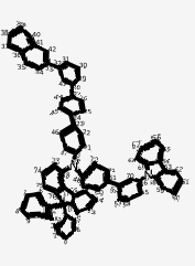 c1ccc(C2(c3ccccc3)c3ccccc3-c3c(N(c4ccc(-c5ccc(-c6cccc(-c7ccc8ccccc8c7)c6)cc5)cc4)c4ccc(-c5cccc(-n6c7ccccc7c7ccccc76)c5)cc4)cccc32)cc1